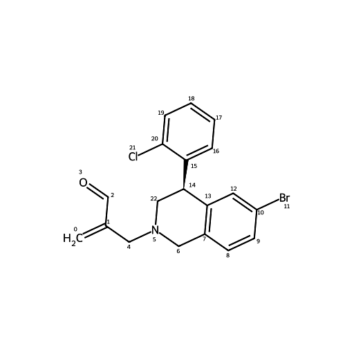 C=C(C=O)CN1Cc2ccc(Br)cc2[C@H](c2ccccc2Cl)C1